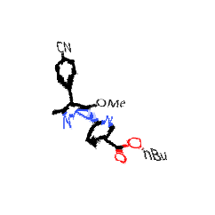 CCCCOC(=O)c1ccc(-n2nc(C)c(-c3ccc(C#N)cc3)c2OC)nc1